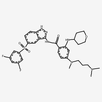 CN(C)CCCN(C)c1ccc(C(=O)Nc2n[nH]c3ccc(S(=O)(=O)c4cc(F)cc(F)c4)cc23)c(NC2CCOCC2)c1